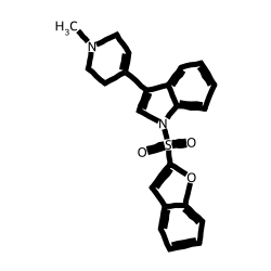 CN1CC=C(c2cn(S(=O)(=O)c3cc4ccccc4o3)c3ccccc23)CC1